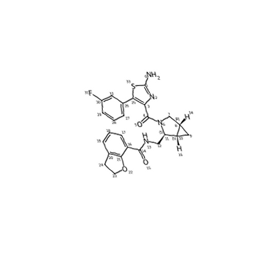 Nc1nc(C(=O)N2C[C@@H]3C[C@@H]3[C@H]2CNC(=O)c2cccc3c2OCC3)c(-c2cccc(F)c2)s1